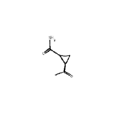 CC(=O)C1CC1C(N)=O